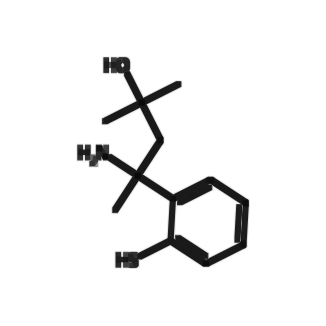 CC(C)(O)CC(C)(N)c1ccccc1S